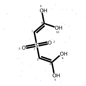 O=S(=O)(C=C(O)O)C=C(O)O